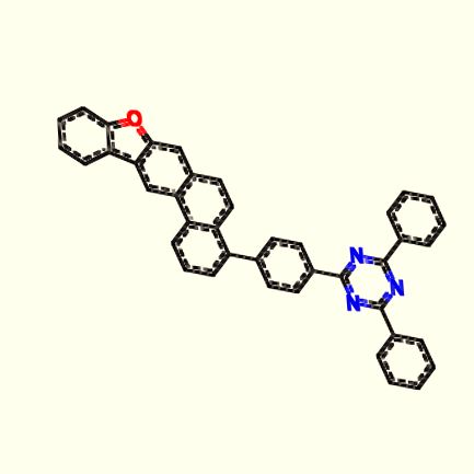 c1ccc(-c2nc(-c3ccccc3)nc(-c3ccc(-c4cccc5c4ccc4cc6oc7ccccc7c6cc45)cc3)n2)cc1